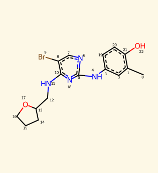 Cc1cc(Nc2ncc(Br)c(NCC3CCCO3)n2)ccc1O